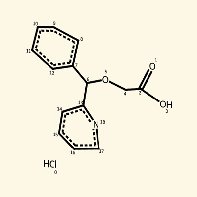 Cl.O=C(O)COC(c1ccccc1)c1ccccn1